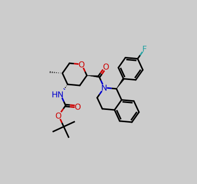 C[C@@H]1CO[C@@H](C(=O)N2CCc3ccccc3[C@@H]2c2ccc(F)cc2)C[C@@H]1NC(=O)OC(C)(C)C